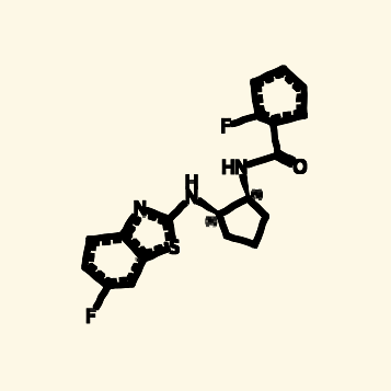 O=C(N[C@H]1CCC[C@H]1Nc1nc2ccc(F)cc2s1)c1ccccc1F